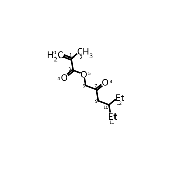 C=C(C)C(=O)OCC(=O)CC(CC)CC